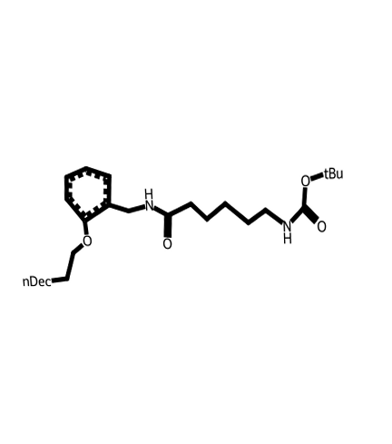 CCCCCCCCCCCCOc1ccccc1CNC(=O)CCCCCNC(=O)OC(C)(C)C